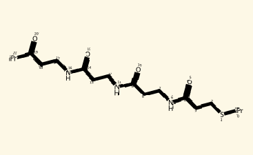 CC(C)SCCC(=O)NCCC(=O)NCCC(=O)NCCC(=O)C(C)C